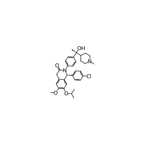 COc1cc2c(cc1OC(C)C)[C@H](c1ccc(Cl)cc1)N(c1ccc([C@](C)(O)C3CCN(C)CC3)cc1)C(=O)C2